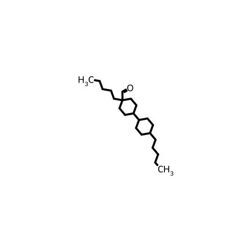 CCCCCC1CCC(C2CCC(C=O)(CCCCC)CC2)CC1